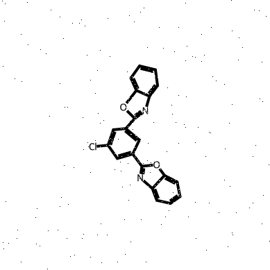 Clc1cc(-c2nc3ccccc3o2)cc(-c2nc3ccccc3o2)c1